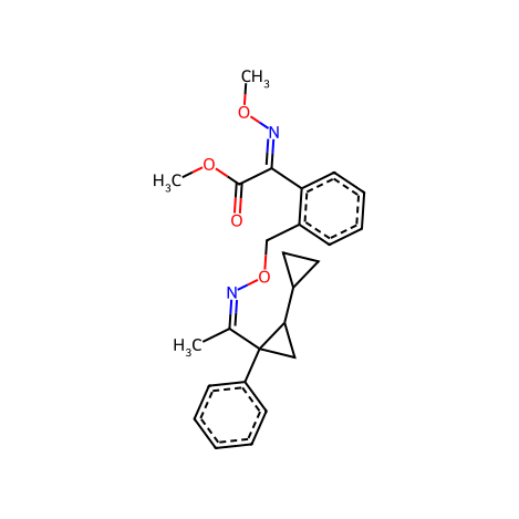 CO/N=C(\C(=O)OC)c1ccccc1CO/N=C(/C)C1(c2ccccc2)CC1C1CC1